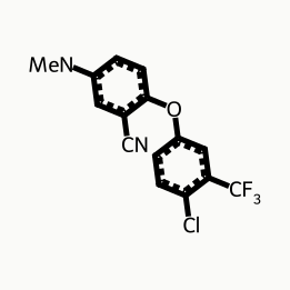 CNc1ccc(Oc2ccc(Cl)c(C(F)(F)F)c2)c(C#N)c1